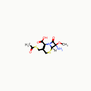 CO[C@@]1(N)C(=O)N2C(C(=O)O)=C(CSC(C)=O)CS[C@@H]21